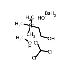 CO.C[N+](C)(C)CCO.ClC(Cl)Cl.[BaH2].[OH-]